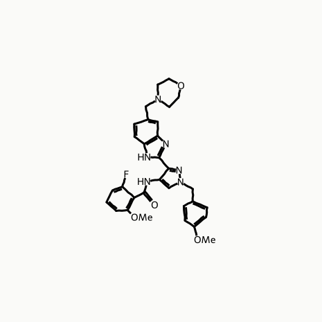 COc1ccc(Cn2cc(NC(=O)c3c(F)cccc3OC)c(-c3nc4cc(CN5CCOCC5)ccc4[nH]3)n2)cc1